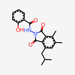 Cc1cc(CC(C)C)c2c(c1C)C(=O)N(NC(=O)c1ccccc1O)C2=O